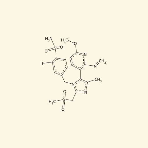 C=Nc1nc(OC)ccc1-c1c(C)nc(CS(C)(=O)=O)n1Cc1ccc(S(N)(=O)=O)c(F)c1